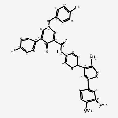 COc1ccc(-c2cnc(N)c(C3C=CC(NC(=O)c4cn(Cc5ccc(F)cc5)cc(-c5ccc(F)cc5)c4=O)=CC3)c2)cc1OC